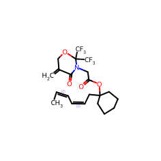 C=C1COC(C(F)(F)F)(C(F)(F)F)N(CC(=O)OC2(C/C=C\C=C/C)CCCCC2)C1=O